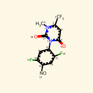 Cn1c(C(F)(F)F)cc(=O)n(-c2cc(F)c(N=O)cc2F)c1=O